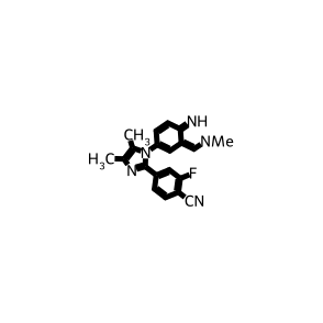 CN/C=C1/C=C(n2c(-c3ccc(C#N)c(F)c3)nc(C)c2C)C=CC1=N